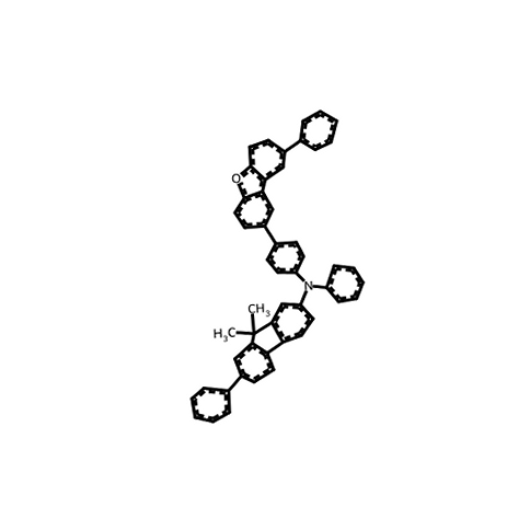 CC1(C)c2cc(-c3ccccc3)ccc2-c2ccc(N(c3ccccc3)c3ccc(-c4ccc5oc6ccc(-c7ccccc7)cc6c5c4)cc3)cc21